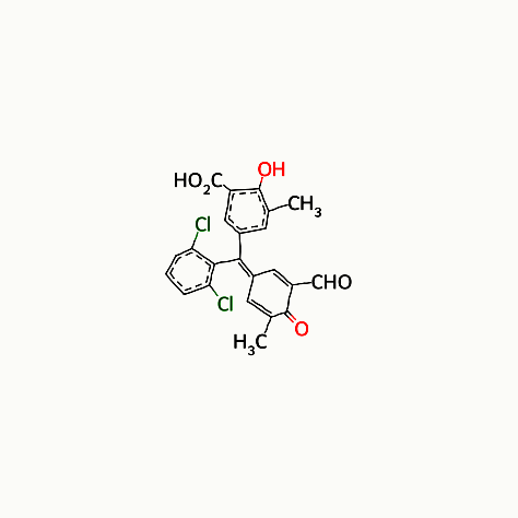 CC1=C/C(=C(/c2cc(C)c(O)c(C(=O)O)c2)c2c(Cl)cccc2Cl)C=C(C=O)C1=O